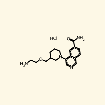 Cl.NCCOCC1CCCN(c2cncc3ccc(C(N)=O)cc23)C1